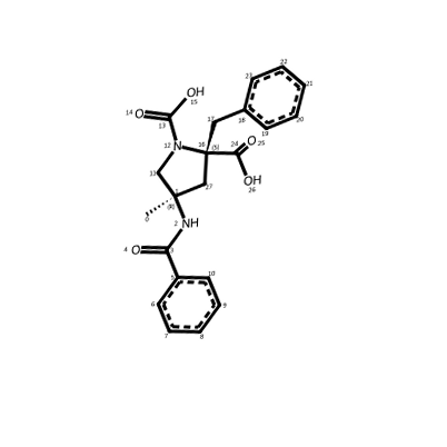 C[C@]1(NC(=O)c2ccccc2)CN(C(=O)O)[C@](Cc2ccccc2)(C(=O)O)C1